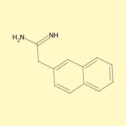 N=C(N)Cc1ccc2ccccc2c1